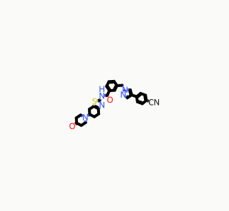 N#Cc1ccc(-c2cnn(Cc3cccc(C(=O)Nc4nc5c(s4)CC(N4CCC(=O)CC4)CC5)c3)c2)cc1